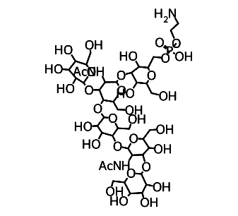 CC(=O)NC1C(OC2C(CO)OC(OC3C(CO)OC(OC4C(O)C(CO)OC(COP(=O)(O)OCCN)C4O)C(NC(C)=O)C3OC3OC(CO)C(O)C(O)C3O)C(O)C2O)OC(CO)C(O)C1OC1OC(CO)C(O)C(O)C1O